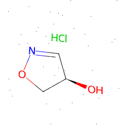 Cl.O[C@@H]1C=NOC1